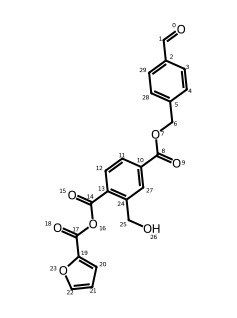 O=Cc1ccc(COC(=O)c2ccc(C(=O)OC(=O)c3ccco3)c(CO)c2)cc1